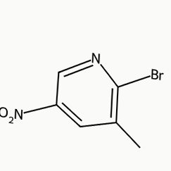 Cc1cc([N+](=O)[O-])cnc1Br